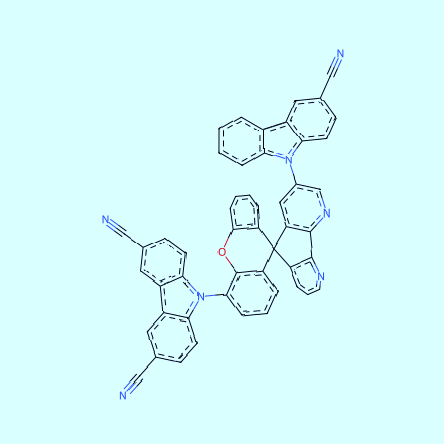 N#Cc1ccc2c(c1)c1ccccc1n2-c1cnc2c(c1)C1(c3ccccc3Oc3c(-n4c5ccc(C#N)cc5c5cc(C#N)ccc54)cccc31)c1cccnc1-2